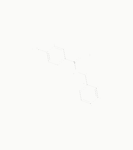 Cl.Nc1ccc(C(=O)OCc2ccccc2)cc1